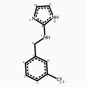 FC(F)(F)c1cccc(CNc2ncc[nH]2)c1